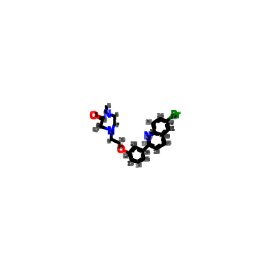 C[C@@H]1C(=O)N(C)CCN1CCOc1cccc(-c2ccc3cc(Br)ccc3n2)c1